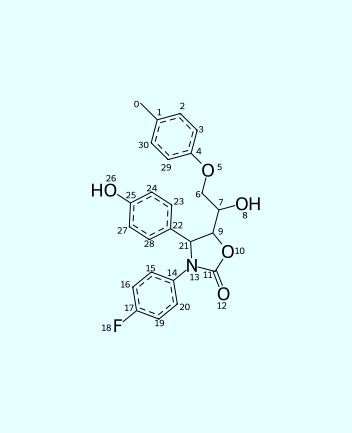 Cc1ccc(OCC(O)C2OC(=O)N(c3ccc(F)cc3)C2c2ccc(O)cc2)cc1